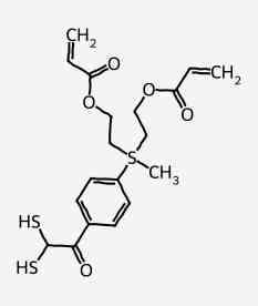 C=CC(=O)OCCS(C)(CCOC(=O)C=C)c1ccc(C(=O)C(S)S)cc1